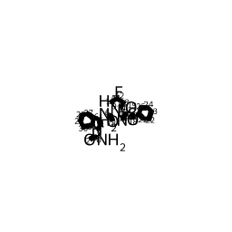 NC(=O)n1cc(NC(=O)N2C[C@H](F)C[C@H]2C(N)S(=O)(=O)c2ccccc2)c2ccccc21